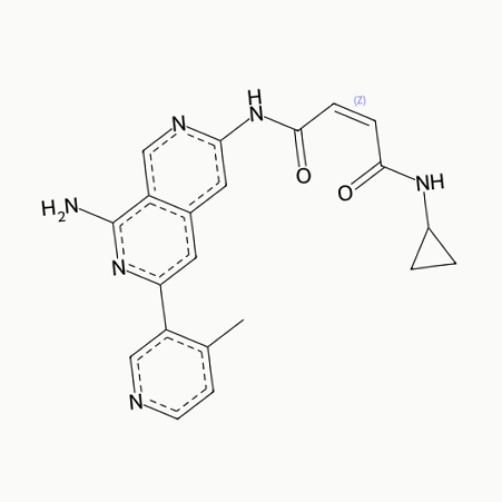 Cc1ccncc1-c1cc2cc(NC(=O)/C=C\C(=O)NC3CC3)ncc2c(N)n1